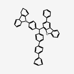 C1=CC2C3=C(C=CCC3)N(c3ccc(C(c4ccc(-c5ccc(-c6ccccc6)cc5)cc4)c4cc(-c5ccccc5)cc5c4oc4ccccc45)cc3)C2C=C1